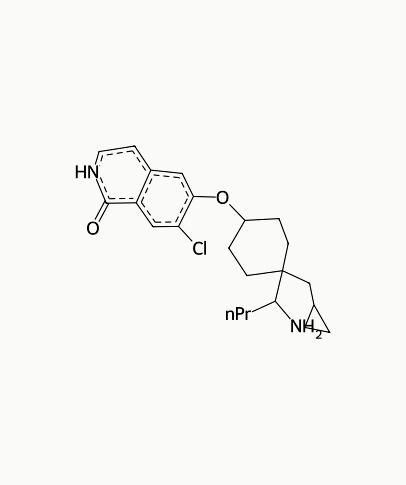 CCCC(N)C1(CC2CC2)CCC(Oc2cc3cc[nH]c(=O)c3cc2Cl)CC1